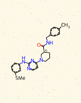 CSc1cccc(Nc2nccc(N3CCC[C@H](C(=O)NCc4ccc(C)cc4)C3)n2)c1